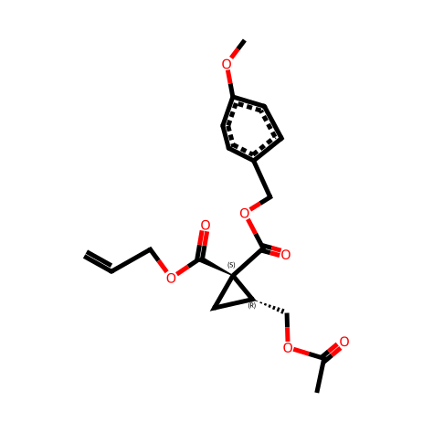 C=CCOC(=O)[C@]1(C(=O)OCc2ccc(OC)cc2)C[C@H]1COC(C)=O